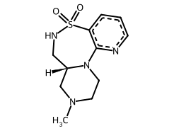 CN1CCN2c3ncccc3S(=O)(=O)NC[C@H]2C1